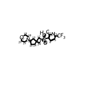 Cc1nc(C(F)(F)F)ccc1S(=O)(=O)N1CC2(CC[C@@H](N3CCOCC3)C2)C1